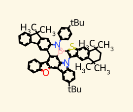 CC(C)(C)c1ccc(N2B3c4sc5cc6c(cc5c4-n4c5ccc(C(C)(C)C)cc5c5c7oc8ccccc8c7c(c3c54)-c3cc4c(cc32)C(C)(C)c2ccccc2-4)C(C)(C)CCC6(C)C)cc1